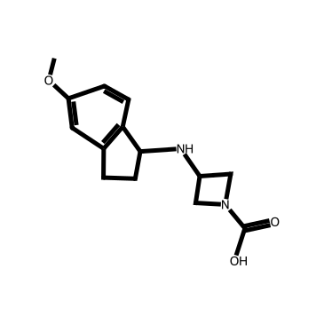 COc1ccc2c(c1)CCC2NC1CN(C(=O)O)C1